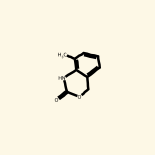 Cc1cccc2c1NC(=O)OC2